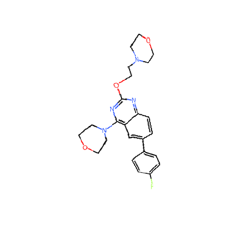 Fc1ccc(-c2ccc3nc(OCCN4CCOCC4)nc(N4CCOCC4)c3c2)cc1